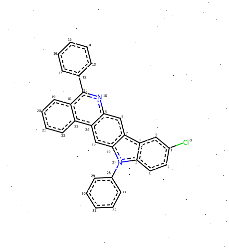 Clc1ccc2c(c1)c1cc3nc(-c4ccccc4)c4ccccc4c3cc1n2-c1ccccc1